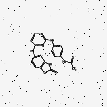 O=C(Nc1ccc(Nc2nccc(Nc3ccc4oc(=O)[nH]c4c3)n2)cc1)C(F)(F)F